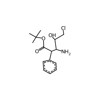 CC(C)(C)OC(=O)C(c1ccccc1)C(N)C(O)CCl